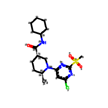 CS(=O)(=O)c1nc(Cl)cc(N2C[C@@H](C(=O)NC3CCCCC3)CC[C@H]2C(F)(F)F)n1